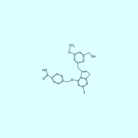 COc1cc(CO)cc(CC2=CCc3cc(F)cc(OCc4ccc(C(=O)O)cc4)c32)c1